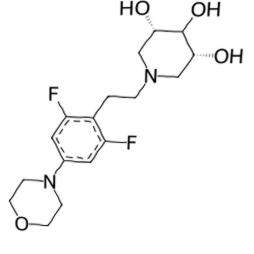 OC1[C@H](O)CN(CCc2c(F)cc(N3CCOCC3)cc2F)C[C@@H]1O